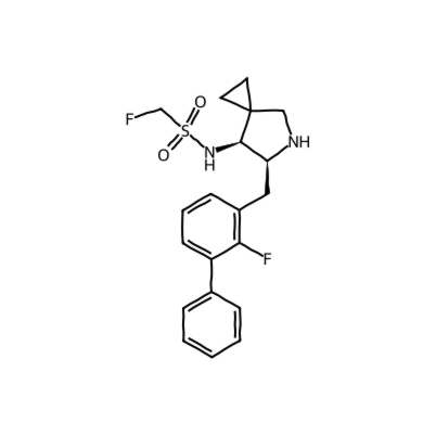 O=S(=O)(CF)N[C@@H]1[C@H](Cc2cccc(-c3ccccc3)c2F)NCC12CC2